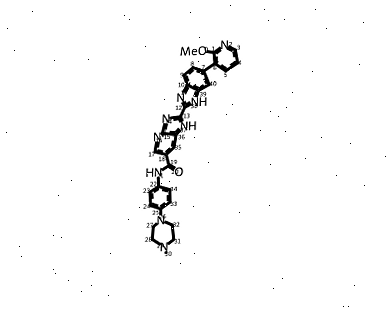 COc1ncccc1-c1ccc2nc(-c3nc4ncc(C(=O)Nc5ccc(N6CCN(C)CC6)cc5)cc4[nH]3)[nH]c2c1